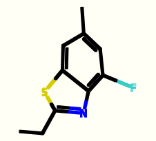 CCc1nc2c(F)cc(C)cc2s1